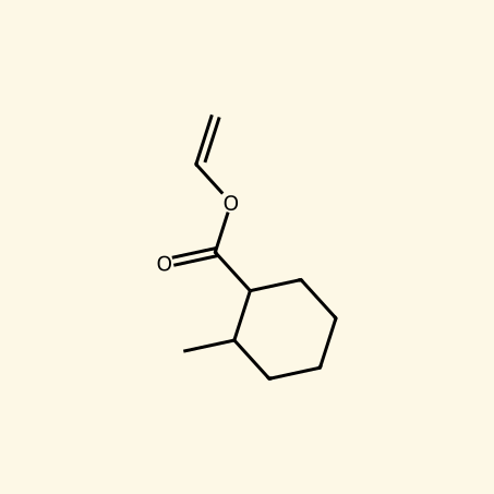 C=COC(=O)C1CCCCC1C